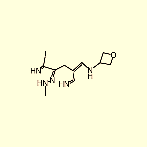 CN/N=C(/C/C(C=N)=C/NC1COC1)C(=N)I